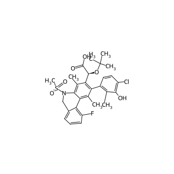 Cc1c(-c2c(C)c3c(c(C)c2[C@H](OC(C)(C)C)C(=O)O)N(S(C)(=O)=O)Cc2cccc(F)c2-3)ccc(Cl)c1O